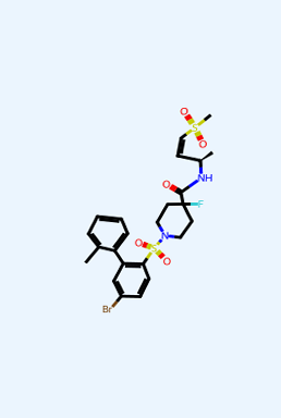 Cc1ccccc1-c1cc(Br)ccc1S(=O)(=O)N1CCC(F)(C(=O)N[C@H](C)/C=C\S(C)(=O)=O)CC1